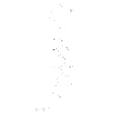 CC(C)(N)CC(=O)N1CCN(C(=O)Nc2ccn(-c3ccc(CN4CC5C(N)C5C4)c(C(F)(F)F)c3)c(=O)n2)CC1